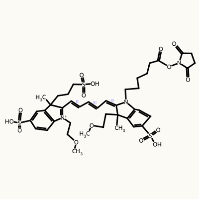 COCC[N+]1=C(/C=C/C=C/C=C2/N(CCCCCC(=O)ON3C(=O)CCC3=O)c3ccc(S(=O)(=O)O)cc3C2(C)CCOC)C(C)(CCCS(=O)(=O)O)c2cc(S(=O)(=O)O)ccc21